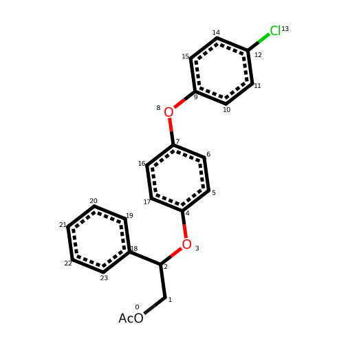 CC(=O)OCC(Oc1ccc(Oc2ccc(Cl)cc2)cc1)c1ccccc1